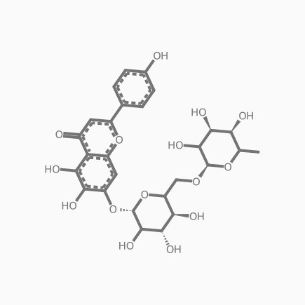 CC1O[C@@H](OCC2O[C@@H](Oc3cc4oc(-c5ccc(O)cc5)cc(=O)c4c(O)c3O)C(O)[C@@H](O)[C@@H]2O)C(O)[C@@H](O)[C@H]1O